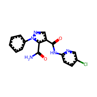 NC(=O)c1c(C(=O)Nc2ccc(Cl)cn2)cnn1-c1ccccc1